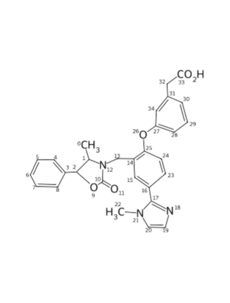 CC1C(c2ccccc2)OC(=O)N1Cc1cc(-c2nccn2C)ccc1Oc1cccc(CC(=O)O)c1